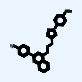 COc1ccc(-n2cc(COCc3cc(-c4ccc(C(F)(F)F)cc4)nc4ccccc34)nn2)cc1